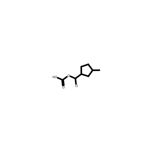 CC1CCC(C(Cl)OC(=O)O)C1